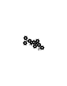 CCC12C=CC=CC1c1ccc3c(c1S2)-c1ccccc1C3(c1ccccc1)c1ccc2c(c1)C(C)(C)c1cc(N(c3ccccc3)c3ccccc3)ccc1-2